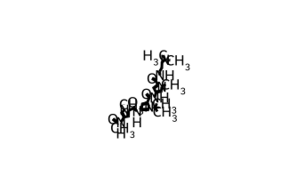 CC(=O)Nc1cc(C(=O)Nc2cc(C(=O)Nc3cc(C(=O)NCCCN(C)C)n(C)c3)n(C(C)C)c2)n(C)c1